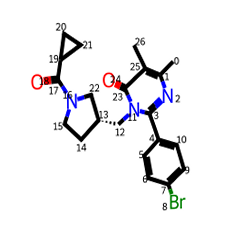 Cc1nc(-c2ccc(Br)cc2)n(C[C@@H]2CCN(C(=O)C3CC3)C2)c(=O)c1C